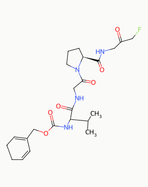 CC(C)C(NC(=O)OCC1=CCCC=C1)C(=O)NCC(=O)N1CCC[C@H]1C(=O)NCC(=O)CF